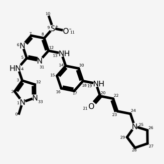 Cn1cc(Nc2ncc([S+](C)[O-])c(Nc3cccc(NC(=O)/C=C/CN4CCCC4)c3)n2)cn1